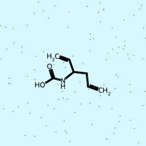 C=CCC(C=C)NC(=O)O